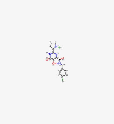 Cn1c(C2CCCN2F)nc(C(=O)NCc2ccc(F)cc2)c(O)c1=O